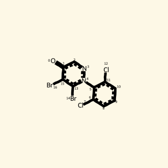 O=c1cnn(-c2c(Cl)cccc2Cl)c(Br)c1Br